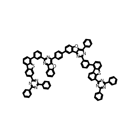 c1ccc(-c2nc(-c3ccccc3)nc(-c3ccc4c(c3)sc3c(-c5cccc(-c6nc(-c7ccc(-c8ccc9oc%10c(-c%11ccccc%11)nc(-c%11cccc(-c%12cccc%13sc%14c(-c%15nc(-c%16ccccc%16)nc(-c%16ccccc%16)n%15)cccc%14c%12%13)c%11)nc%10c9c8)cc7)c7oc8ccccc8c7n6)c5)cccc34)n2)cc1